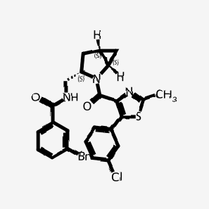 Cc1nc(C(=O)N2[C@H](CNC(=O)c3cccc(Br)c3)C[C@@H]3C[C@@H]32)c(-c2cccc(Cl)c2)s1